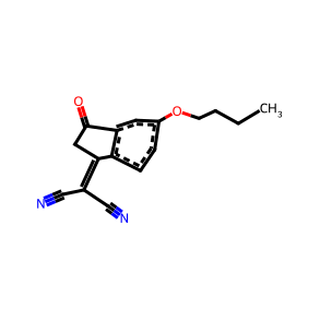 CCCCOc1ccc2c(c1)C(=O)CC2=C(C#N)C#N